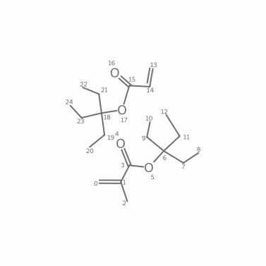 C=C(C)C(=O)OC(CC)(CC)CC.C=CC(=O)OC(CC)(CC)CC